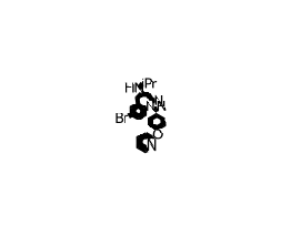 CC(C)NC1Cc2cc(Br)ccc2-n2c(nnc2[C@H]2CC[C@H](Oc3ccccn3)CC2)C1